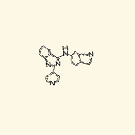 c1ccc2c(Nc3ccc4ccncc4c3)nc(-c3ccncc3)nc2c1